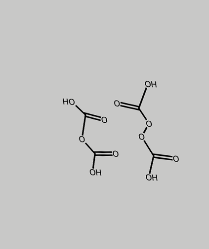 O=C(O)OC(=O)O.O=C(O)OOC(=O)O